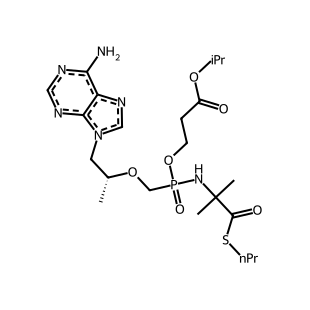 CCCSC(=O)C(C)(C)NP(=O)(CO[C@H](C)Cn1cnc2c(N)ncnc21)OCCC(=O)OC(C)C